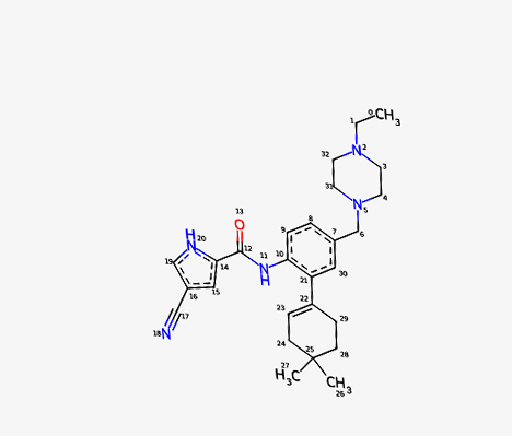 CCN1CCN(Cc2ccc(NC(=O)c3cc(C#N)c[nH]3)c(C3=CCC(C)(C)CC3)c2)CC1